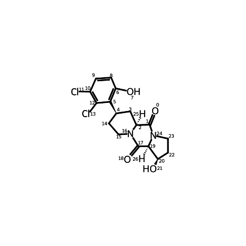 O=C1[C@@H]2C[C@H](c3c(O)ccc(Cl)c3Cl)CCN2C(=O)[C@@H]2[C@H](O)CCN12